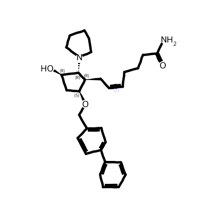 NC(=O)CCC/C=C\C[C@@H]1[C@@H](N2CCCCC2)[C@H](O)C[C@@H]1OCc1ccc(-c2ccccc2)cc1